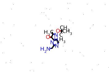 CC(NOC(C)(C)C)C(=O)c1ccnc(CN)n1